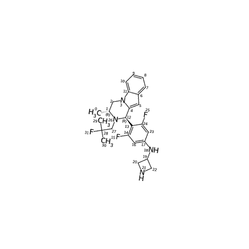 C[C@@H]1Cn2c(cc3ccccc32)[C@@H](c2c(F)cc(NC3CNC3)cc2F)N1CC(C)(C)F